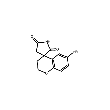 CCCCc1ccc2c(c1)C1(CCO2)CC(=O)NC1=O